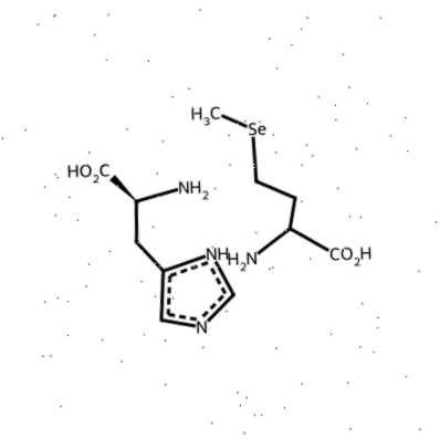 C[Se]CCC(N)C(=O)O.N[C@@H](Cc1cnc[nH]1)C(=O)O